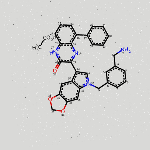 CC(=O)O.NCc1cccc(Cn2cc(-c3nc4c(-c5ccccc5)cccc4[nH]c3=O)c3cc4c(cc32)OCO4)c1